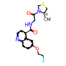 N#C[C@@H]1CSCN1C(=O)CNC(=O)c1ccnc2ccc(OCCF)cc12